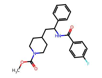 COC(=O)N1CCC(CC(NC(=O)c2ccc(F)cc2)c2ccccc2)CC1